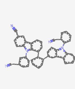 N#Cc1cccc(-n2c3ccc(C#N)cc3c3cccc(-c4ccccc4-c4ccc5c(c4)c4ccccc4n5-c4ccccc4C#N)c32)c1